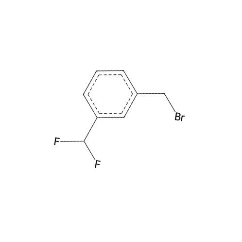 FC(F)c1cccc(CBr)c1